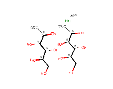 Cl.O=C([O-])[C@H](O)[C@@H](O)[C@H](O)[C@H](O)CO.O=C([O-])[C@H](O)[C@@H](O)[C@H](O)[C@H](O)CO.[Sn+2]